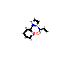 C=CC(O)n1ccnc1-c1ccccn1